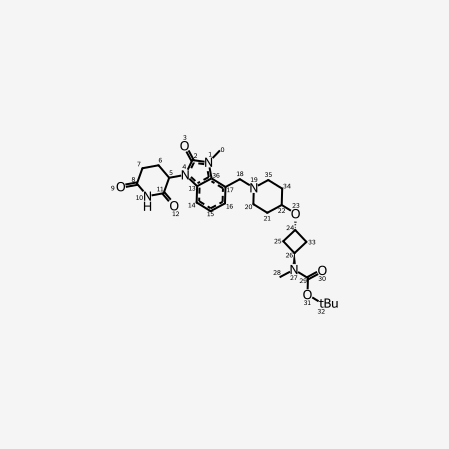 Cn1c(=O)n(C2CCC(=O)NC2=O)c2cccc(CN3CCC(O[C@H]4C[C@H](N(C)C(=O)OC(C)(C)C)C4)CC3)c21